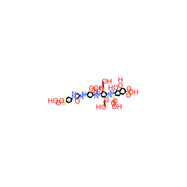 O=C1C(/N=N/c2ccc(/N=N/c3cc(OCCO)c(/N=N/c4c(SOOO)cc5cc(S(=O)(=O)O)cc(O)c5c4O)cc3OCCO)c(S(=O)(=O)O)c2)C=NN1c1ccc(SOOO)cc1